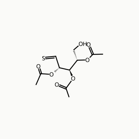 CC(=O)O[C@H]([C@H](CO)OC(C)=O)[C@@H](C=S)OC(C)=O